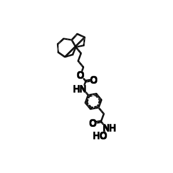 O=C(Cc1ccc(NC(=O)OCCCC23CC4CCCC2CC4C3)cc1)NO